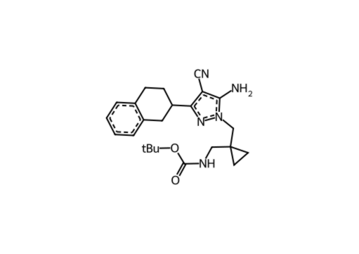 CC(C)(C)OC(=O)NCC1(Cn2nc(C3CCc4ccccc4C3)c(C#N)c2N)CC1